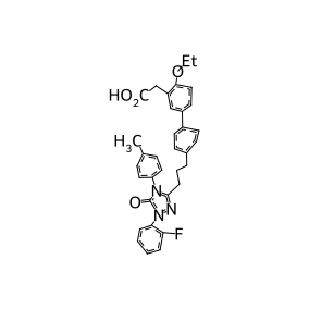 CCOc1ccc(-c2ccc(CCCc3nn(-c4ccccc4F)c(=O)n3-c3ccc(C)cc3)cc2)cc1CC(=O)O